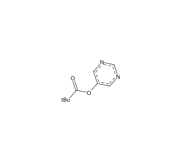 CC(C)(C)C(=O)Oc1cncnc1